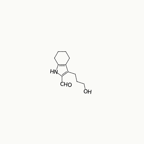 O=Cc1[nH]c2c(c1CCCO)CCCC2